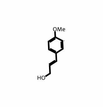 COc1[c]cc(C=CCO)cc1